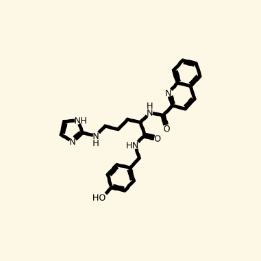 O=C(NC(CCCNc1ncc[nH]1)C(=O)NCc1ccc(O)cc1)c1ccc2ccccc2n1